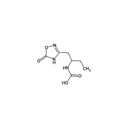 CCC(Cc1noc(=O)[nH]1)NC(=O)O